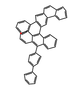 c1ccc(-c2ccc(-c3c4ccccc4c(-c4cc5c(ccc6ccccc65)cc4-c4ccccc4)c4ccccc34)cc2)cc1